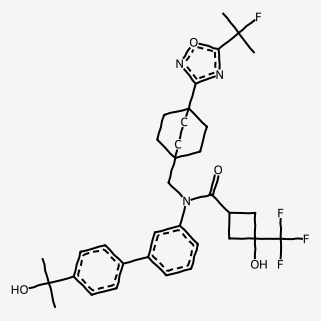 CC(C)(O)c1ccc(-c2cccc(N(CC34CCC(c5noc(C(C)(C)F)n5)(CC3)CC4)C(=O)C3CC(O)(C(F)(F)F)C3)c2)cc1